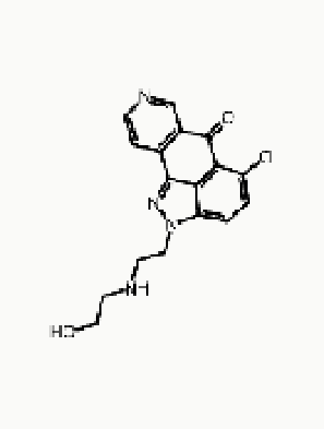 O=C1c2cnccc2-c2nn(CCNCCO)c3ccc(Cl)c1c23